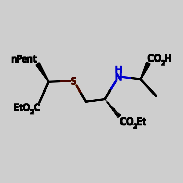 CCCCC[C@@H](SC[C@H](N[C@H](C)C(=O)O)C(=O)OCC)C(=O)OCC